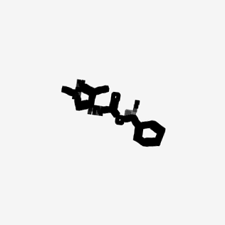 Cc1nn(C)cc1NC(=O)O[C@H](C)c1ccccc1